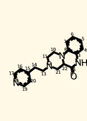 O=C1Nc2ccccc2N2CCN(CCc3ccncc3)CC12